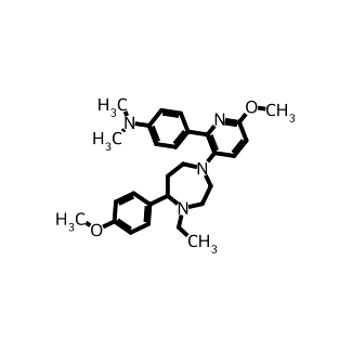 CCN1CCN(c2ccc(OC)nc2-c2ccc(N(C)C)cc2)CCC1c1ccc(OC)cc1